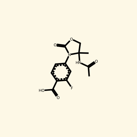 CC(=O)NC1(C)COC(=O)N1c1ccc(C(=O)O)c(F)c1